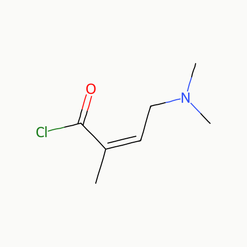 CC(=CCN(C)C)C(=O)Cl